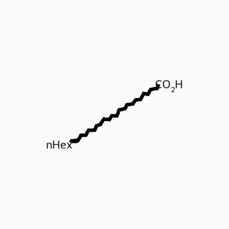 CCCCCCC=CCCCCCCCCCCCCCCCCCCCCC(=O)O